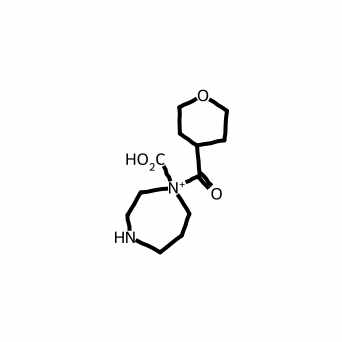 O=C(O)[N+]1(C(=O)C2CCOCC2)CCCNCC1